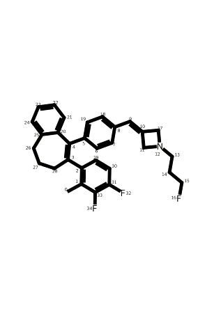 Cc1c(C2=C(c3ccc(C=C4CN(CCCF)C4)cc3)c3ccccc3CCC2)ccc(F)c1F